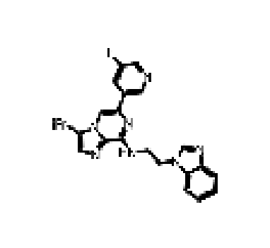 CC(C)c1cnc2c(NCCn3cnc4ccccc43)nc(-c3cncc(F)c3)cn12